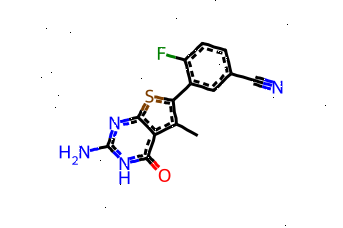 Cc1c(-c2cc(C#N)ccc2F)sc2nc(N)[nH]c(=O)c12